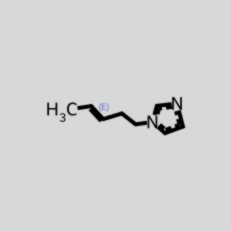 C/C=C/CCn1ccnc1